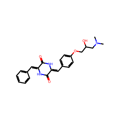 CN(C)CC(O)COc1ccc(C=c2[nH]c(=O)c(=Cc3ccccc3)[nH]c2=O)cc1